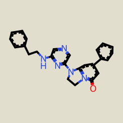 O=c1cc(-c2ccccc2)cc2n1CCN2c1cncc(NCCc2ccccc2)n1